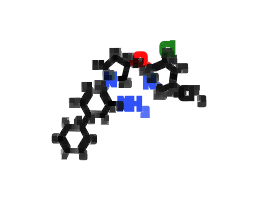 Nc1cc(-c2ccccc2)ccc1N1CC[C@@H](Oc2ncc(C(F)(F)F)cc2Cl)C1